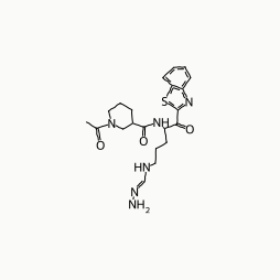 CC(=O)N1CCCC(C(=O)NC(CCCNC=NN)C(=O)c2nc3ccccc3s2)C1